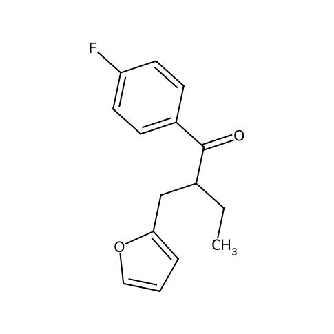 CCC(Cc1ccco1)C(=O)c1ccc(F)cc1